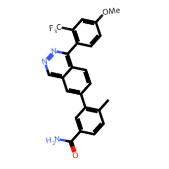 COc1ccc(-c2nncc3cc(-c4cc(C(N)=O)ccc4C)ccc23)c(C(F)(F)F)c1